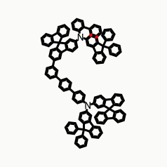 c1ccc(-c2ccccc2N(c2ccc3c(c2)-c2ccccc2C3(c2ccccc2)c2ccccc2)c2ccc3c(c2)C2(c4ccccc4-c4ccccc42)c2ccc(-c4cccc(-c5ccc(-c6ccc(N(c7ccc8c(c7)-c7ccccc7C8(c7ccccc7)c7ccccc7)c7ccc8c(c7)C7(c9ccccc9-c9ccccc97)c7ccccc7-8)cc6)cc5)c4)cc2-3)cc1